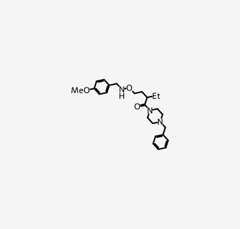 CCC(CCONCc1ccc(OC)cc1)C(=O)N1CCN(Cc2ccccc2)CC1